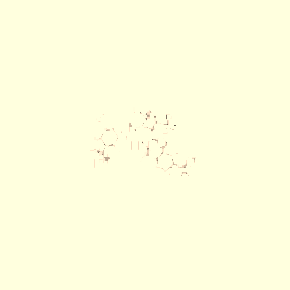 CSc1cc(CN2CCn3nc(C(F)(F)F)c(C(=O)NC(C)c4ccc(C(=O)O)cc4)c32)cc(C(F)(F)F)c1